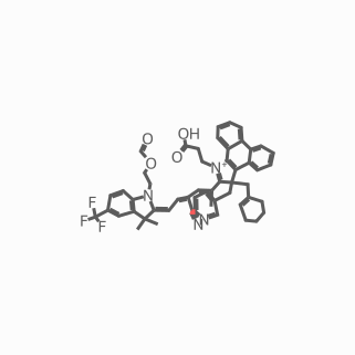 C\C(=C/C(C#N)=C/C=C1\N(CCOC=O)c2ccc(C(F)(F)F)cc2C1(C)C)C1=[N+](CCC(=O)O)c2c(c3ccccc3c3ccccc23)C1(CC1=CCCCC1)Cc1cccnc1